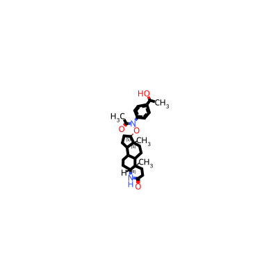 CC(=O)N(O[C@H]1CCC2C3CC[C@H]4NC(=O)CC[C@]4(C)C3CC[C@@]21C)c1ccc(C(C)O)cc1